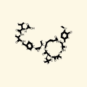 COc1ccc(C[C@H]2NC(=O)/C=C/C[C@@H](C(C)[C@H]3O[C@@H]3c3ccc(CNC(=O)C(C)NC(=O)C(NC(=O)O)C(C)C)cc3)OC(=O)[C@H](CC(C)(C)C)NC(=O)C(C)(C)CNC2=O)cc1Cl